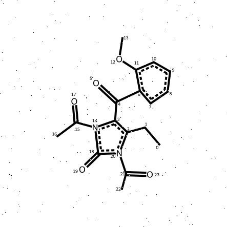 CCc1c(C(=O)c2ccccc2OC)n(C(C)=O)c(=O)n1C(C)=O